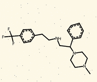 CN1CCN(C(CNCCc2ccc(C(F)(F)F)cc2)c2ccccc2)CC1